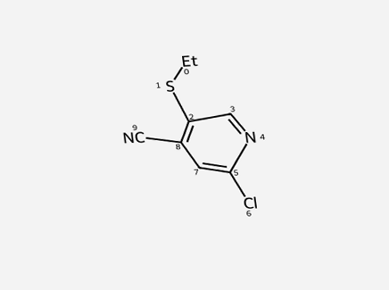 CCSc1cnc(Cl)cc1C#N